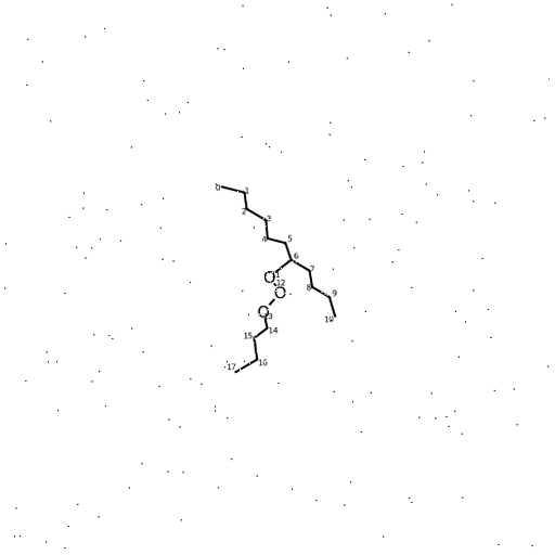 CCCCCCC(CCCC)OOOCCCC